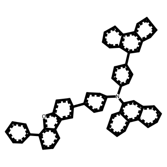 c1ccc(-c2cccc3c2oc2ccc(-c4ccc(N(c5ccc(-c6cc7ccccc7c7ccccc67)cc5)c5cc6ccccc6c6ccccc56)cc4)cc23)cc1